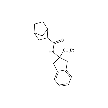 CCOC(=O)C1(NC(=O)C2CC3CCC2C3)Cc2ccccc2C1